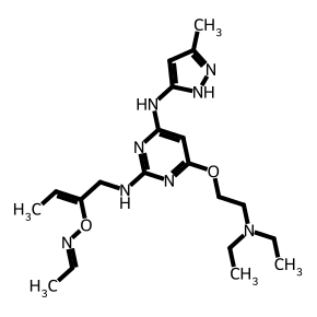 C/C=C(/CNc1nc(Nc2cc(C)n[nH]2)cc(OCCN(CC)CC)n1)O/N=C/C